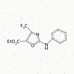 CCOC(=O)c1oc(Nc2ccccc2)nc1C(F)(F)F